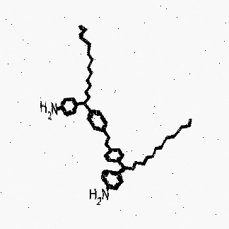 CCCCCCCCCCCCC(c1ccc(N)cc1)c1ccc(CCc2ccc(C(CCCCCCCCCCCC)c3ccc(N)cc3)cc2)cc1